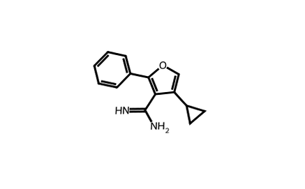 N=C(N)c1c(C2CC2)coc1-c1ccccc1